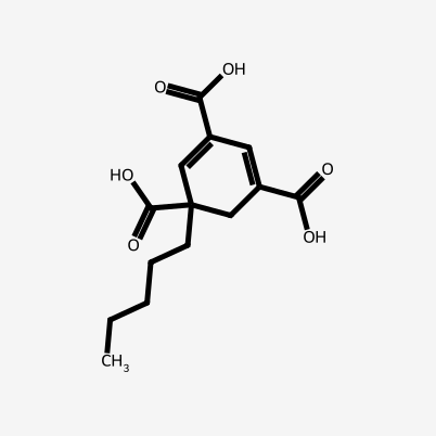 CCCCCC1(C(=O)O)C=C(C(=O)O)C=C(C(=O)O)C1